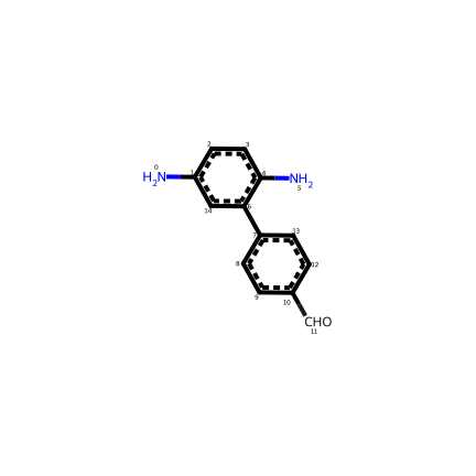 Nc1ccc(N)c(-c2ccc(C=O)cc2)c1